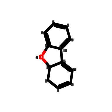 C1=CCC2Oc3ccccc3C2=C1